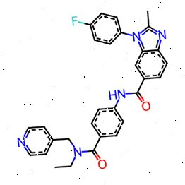 CCN(Cc1ccncc1)C(=O)c1ccc(NC(=O)c2ccc3nc(C)n(-c4ccc(F)cc4)c3c2)cc1